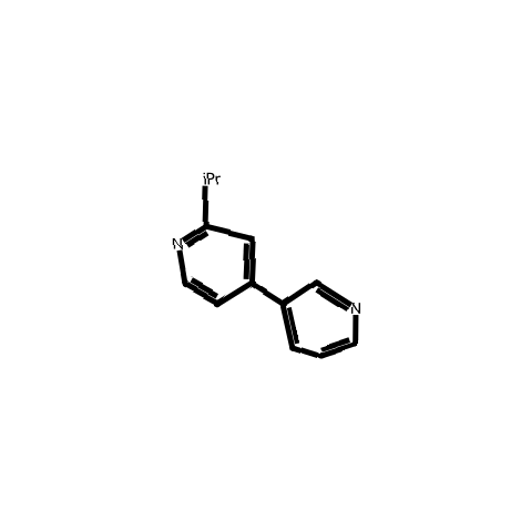 CC(C)c1cc(-c2cccnc2)ccn1